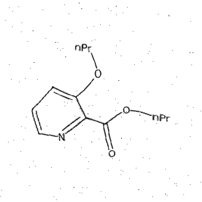 CCCOC(=O)c1ncccc1OCCC